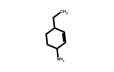 CCC1C=CC(N)CC1